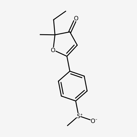 CCC1(C)OC(c2ccc([S+](C)[O-])cc2)=CC1=O